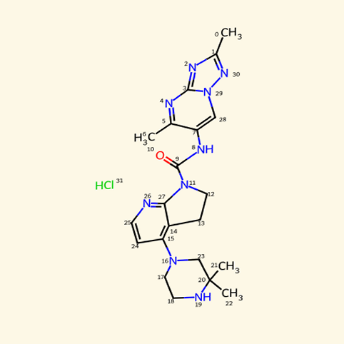 Cc1nc2nc(C)c(NC(=O)N3CCc4c(N5CCNC(C)(C)C5)ccnc43)cn2n1.Cl